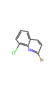 Clc1cccc2ccc(Br)nc12